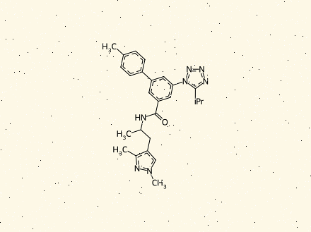 Cc1ccc(-c2cc(C(=O)NC(C)Cc3cn(C)nc3C)cc(-n3nnnc3C(C)C)c2)cc1